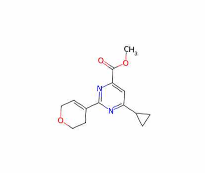 COC(=O)c1cc(C2CC2)nc(C2=CCOCC2)n1